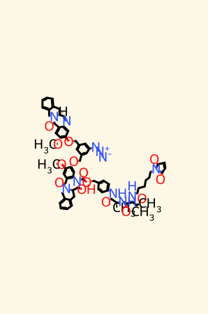 COc1cc2c(cc1OCc1cc(COc3cc4c(cc3OC)C(=O)N3Cc5ccccc5CC3C(O)N4C(=O)OCc3ccc(NC(=O)[C@H](C)NC(=O)[C@@H](NC(=O)CCCCCN4C(=O)C=CC4=O)C(C)C)cc3)cc(N=[N+]=[N-])c1)N=C[C@@H]1Cc3ccccc3CN1C2=O